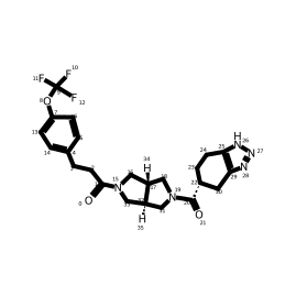 O=C(CCc1ccc(OC(F)(F)F)cc1)N1C[C@@H]2CN(C(=O)[C@@H]3CCc4[nH]nnc4C3)C[C@H]2C1